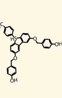 Oc1ccc(COc2ccc3c(c2)-c2cc(OCc4ccc(O)cc4)ccc2[SH]3c2ccc(C(F)(F)F)cc2)cc1